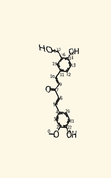 COc1cc(/C=C/C(=O)/C=C/c2ccc(O)c(CO)c2)ccc1O